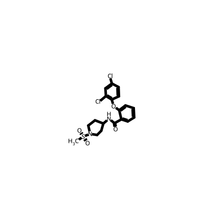 CS(=O)(=O)N1CCC(NC(=O)c2ccccc2Oc2ccc(Cl)cc2Cl)CC1